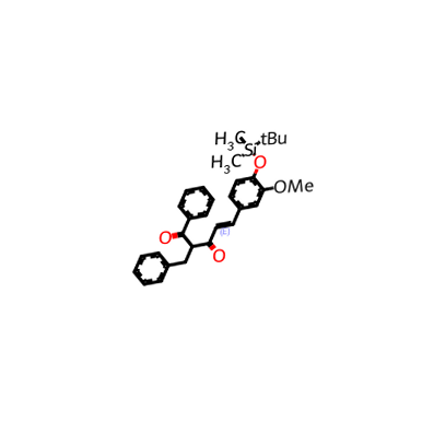 COc1cc(/C=C/C(=O)C(Cc2ccccc2)C(=O)c2ccccc2)ccc1O[Si](C)(C)C(C)(C)C